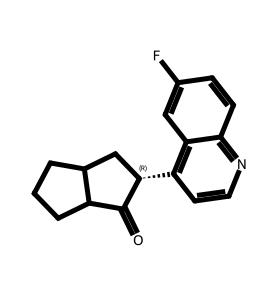 O=C1C2CCCC2C[C@@H]1c1ccnc2ccc(F)cc12